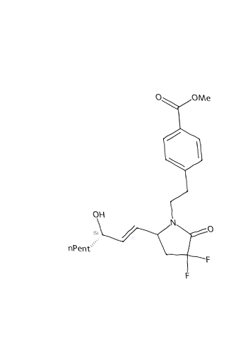 CCCCC[C@H](O)/C=C/C1CC(F)(F)C(=O)N1CCc1ccc(C(=O)OC)cc1